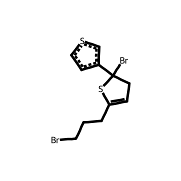 BrCCCC1=CCC(Br)(c2ccsc2)S1